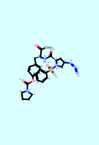 COC(=O)[C@H](Cc1ccc(OC(=O)N2CCCC2)cc1)NC(=O)[C@H]1CC(N=[N+]=[N-])CN1S(=O)(=O)c1ccccc1